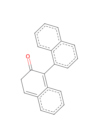 O=C1CC=c2ccccc2=C1c1cccc2ccccc12